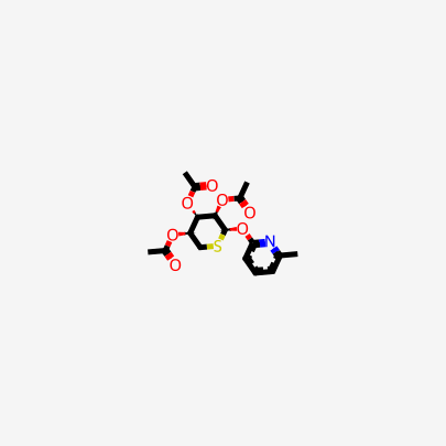 CC(=O)O[C@@H]1[C@@H](OC(C)=O)[C@@H](Oc2cccc(C)n2)SC[C@H]1OC(C)=O